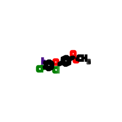 COC(=O)c1ccc(COc2cc(I)c(Cl)cc2Cl)cc1